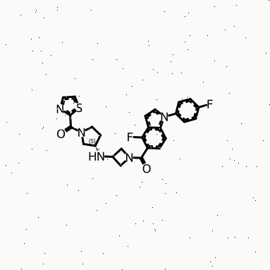 O=C(c1nccs1)N1CC[C@H](NC2CN(C(=O)c3ccc4c(ccn4-c4ccc(F)cc4)c3F)C2)C1